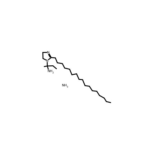 CCCCCCCCCCCCCCCCCC1=NCCN1C(C)(N)CC.N